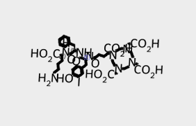 NCCCC[C@@H](NC(=O)[C@@H](Cc1ccccc1)NC(=O)/C(Cc1ccc(O)c(I)c1)=N/C(=O)CCC(C(=O)O)N1CCN(CC(=O)O)CCN(CC(=O)O)CCN(CC(=O)O)CC1)C(=O)O